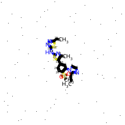 CCCc1nccn1-c1cc(-c2sc(Nc3nnc(CC)s3)nc2C)ccc1S(C)(=O)=O